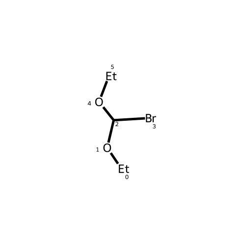 CCOC(Br)OCC